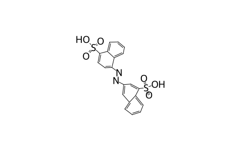 O=S(=O)(O)c1cc(N=Nc2ccc(S(=O)(=O)O)c3ccccc23)cc2ccccc12